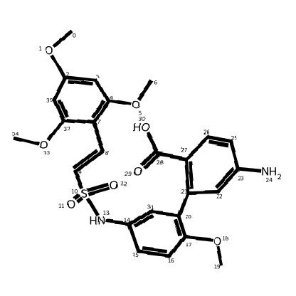 COc1cc(OC)c(C=CS(=O)(=O)Nc2ccc(OC)c(-c3cc(N)ccc3C(=O)O)c2)c(OC)c1